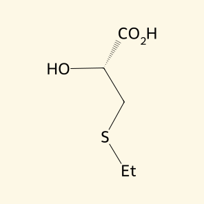 CCSC[C@H](O)C(=O)O